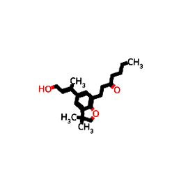 CCCCC(=O)CCc1cc(C(C)=CCO)cc2c1OCC2(C)C